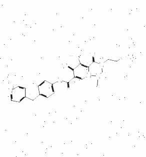 COCCN1CN(C)n2cc(C(=O)Nc3ccc(Cc4ccncc4)cc3)c(=O)c(O)c2C1=O